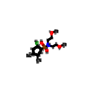 CCOCCN(CCOCC)S(=O)(=O)c1cc(C#N)c(C#N)cc1Cl